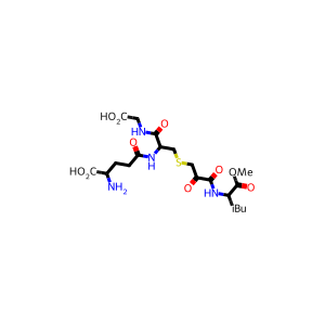 CCC(C)C(NC(=O)C(=O)CSCC(NC(=O)CCC(N)C(=O)O)C(=O)NCC(=O)O)C(=O)OC